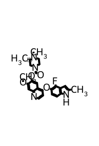 COc1cc2nccc(Oc3ccc4[nH]c(C)cc4c3F)c2cc1OC(=O)N1CCN(C)[C@@H](C)C1